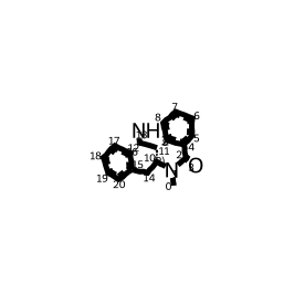 CN(C(=O)c1ccccc1)[C@@H](CCN)Cc1ccccc1